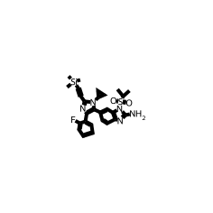 CC(C)S(=O)(=O)n1c(N)nc2ccc(-c3c(-c4ccccc4F)nc(C#C[Si](C)(C)C)n3C3CC3)cc21